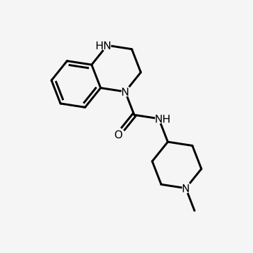 CN1CCC(NC(=O)N2CCNc3ccccc32)CC1